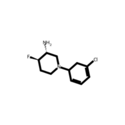 N[C@@H]1CN(C2C=CC=C(Cl)C2)CC[C@H]1F